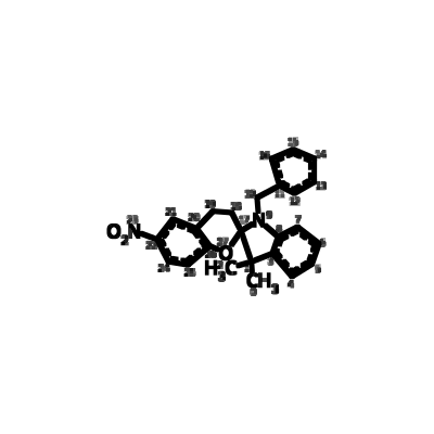 CC1(C)c2ccccc2N(Cc2ccccc2)C12CCc1cc([N+](=O)[O-])ccc1O2